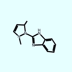 CC1C=CN(C)N1c1nc2ccccc2[nH]1